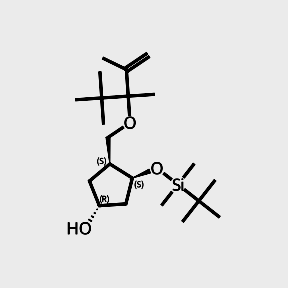 C=C(C)C(C)(OC[C@@H]1C[C@@H](O)C[C@@H]1O[Si](C)(C)C(C)(C)C)C(C)(C)C